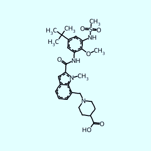 COc1c(NC(=O)c2cc3cccc(CN4CCC(C(=O)O)CC4)c3n2C)cc(C(C)(C)C)cc1NS(C)(=O)=O